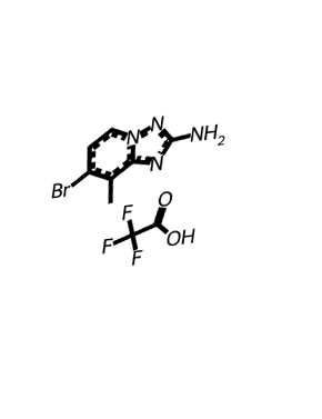 Cc1c(Br)ccn2nc(N)nc12.O=C(O)C(F)(F)F